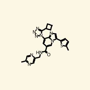 Cc1cnc(CNC(=O)c2cc(-n3nnnc3C3CCC3)c3ncc(-c4ccc(C)s4)n3c2)cn1